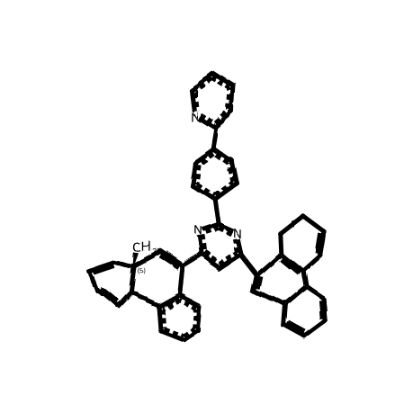 C[C@]12C=CC=CC1c1ccccc1C(c1cc(C3=CC4C=CC=CC4C4=C3CCC=C4)nc(-c3ccc(-c4ccccn4)cc3)n1)=C2